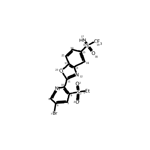 CCS(=O)(=O)c1cc(Br)cnc1-c1nc2cc(S(=N)(=O)C(F)(F)F)ccc2o1